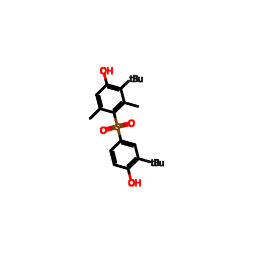 Cc1cc(O)c(C(C)(C)C)c(C)c1S(=O)(=O)c1ccc(O)c(C(C)(C)C)c1